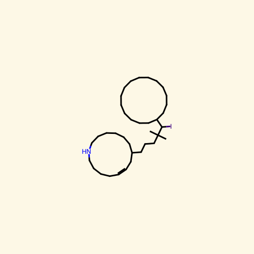 CC(C)(CCCC1C/C=C\CCCCNCCCCCC1)C(I)C1CCCCCCCCCCCCCCC1